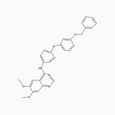 COc1cc2ncnc(Nc3ccc(Oc4cccc(OCc5ccccc5)c4)cc3)c2cc1OC